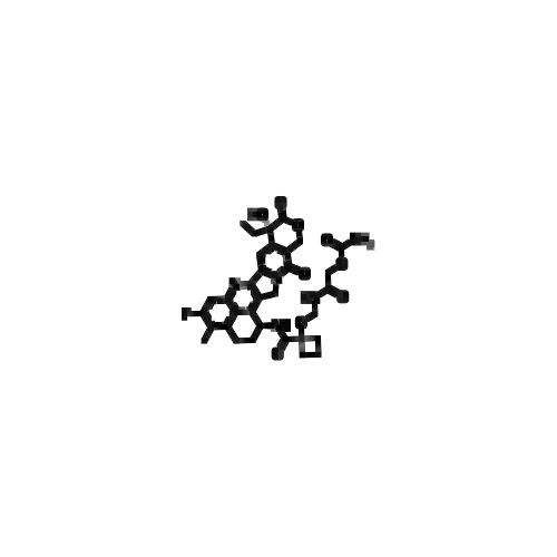 CC[C@@]1(O)C(=O)OCc2c1cc1n(c2=O)Cc2c-1nc1cc(F)c(C)c3c1c2[C@@H](NC(=O)C1(OCNC(=O)COC(N)=O)CCC1)CC3